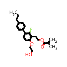 C=C(C)C(=O)OCCc1c(OCCO)ccc(-c2ccc(CCC)cc2)c1F